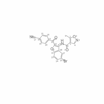 Cc1oncc1C(=O)Nc1c(C(=O)c2ccc(C#N)cc2)oc2ccc(Br)cc12